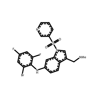 CNCc1cn(S(=O)(=O)c2cccnc2)c2cc(Nc3c(F)cc(F)cc3Br)ccc12